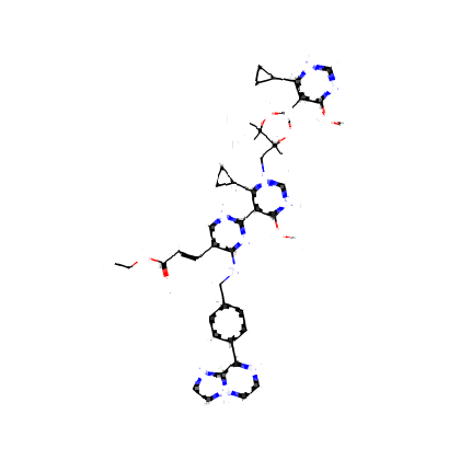 CCOC(=O)/C=C/c1cnc(-c2c(OC)nc[n+](CC3(C)OB(c4c(OC)ncnc4C4CC4)OC3(C)C)c2C2CC2)nc1NCc1ccc(-c2nccn3ccnc23)cc1